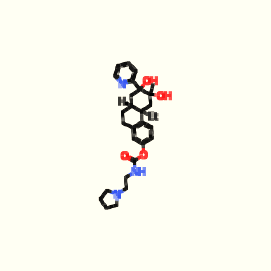 CCC12CC(C)(O)C(O)(c3ccccn3)C[C@H]1CCc1cc(OC(=O)NCCN3CCCC3)ccc12